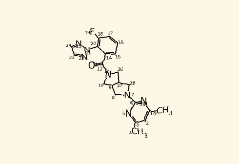 Cc1cc(C)nc(N2CC3CN(C(=O)c4cccc(F)c4-n4nccn4)CC3C2)n1